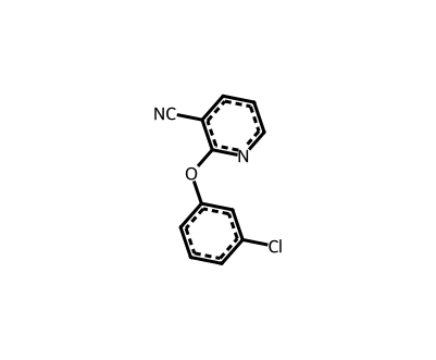 N#Cc1cccnc1Oc1cccc(Cl)c1